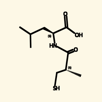 CC(C)C[C@H](NC(=O)[C@H](C)CS)C(=O)O